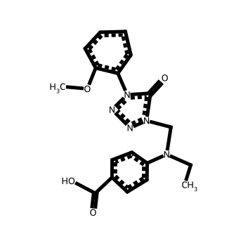 CCN(Cn1nnn(-c2ccccc2OC)c1=O)c1ccc(C(=O)O)cc1